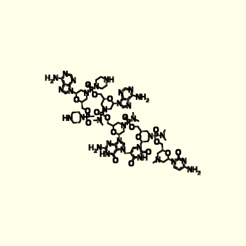 Cc1cn(C2CN(P(=O)(OCC3CN(C)CC(n4ccc(N)nc4=O)O3)N(C)C)CC(COP(=O)(N(C)C)N3CC(COP(=O)(N(C)C)N4CC(COP(=O)(N5CCNCC5)N5CC(COP(C)(=O)N6CCNCC6)OC(n6cnc7c(N)ncnc76)C5)OC(n5cnc6c(N)ncnc65)C4)OC(n4cnc5c(=O)[nH]c(N)nc54)C3)O2)c(=O)[nH]c1=O